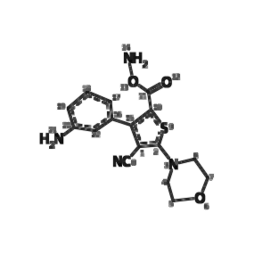 N#Cc1c(N2CCOCC2)sc(C(=O)ON)c1-c1cccc(N)c1